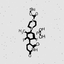 Cc1c(N2CCN(C(=O)OC(C)(C)C)CC2)cc(F)c(C2CCC(=O)NC2=O)c1F.[OH][Pd][OH]